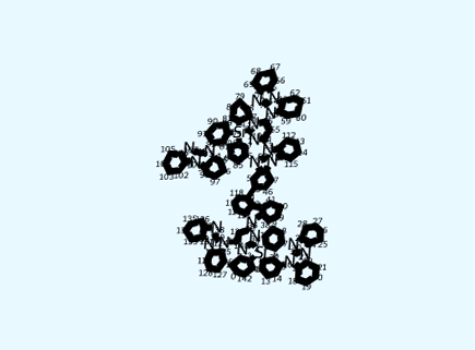 c1ccc([Si](c2ccccc2)(c2cccc(-n3c4ccccc4n4c5ccccc5nc34)c2)c2nc(-n3c4ccccc4c4c(-c5ccc6c(c5)nc5n(-c7cc(-n8c9ccccc9n9c%10ccccc%10nc89)nc([Si](c8ccccc8)(c8ccccc8)c8cccc(-n9c%10ccccc%10n%10c%11ccccc%11nc9%10)c8)n7)c7ccccc7n65)cccc43)cc(-n3c4ccccc4n4c5ccccc5nc34)n2)cc1